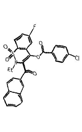 CCN1C(C(=O)c2ccc3ccccc3c2)=C(OC(=O)c2ccc(Cl)cc2)c2cc(F)ccc2S1(=O)=O